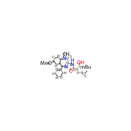 CCCCC(O)C(CC1CC1)C(=O)NC1CN(C)c2ccc(OC)cc2C(c2ccccc2)=N1